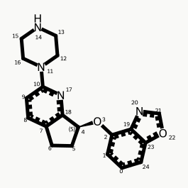 c1cc(O[C@H]2CCc3ccc(N4CCNCC4)nc32)c2ncoc2c1